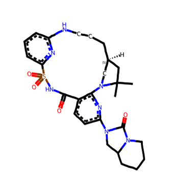 CC1(C)C[C@@H]2CCCNc3cccc(n3)S(=O)(=O)NC(=O)c3ccc(N4CC5CCCCN5C4=O)nc3N1C2